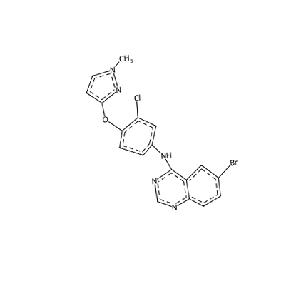 Cn1ccc(Oc2ccc(Nc3ncnc4ccc(Br)cc34)cc2Cl)n1